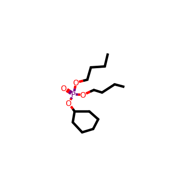 CCCCOP(=O)(OCCCC)OC1CCCCC1